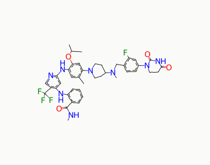 CNC(=O)c1ccccc1Nc1cc(Nc2cc(C)c(N3CCC(N(C)Cc4ccc(N5CCC(=O)NC5=O)cc4F)CC3)cc2OC(C)C)ncc1C(F)(F)F